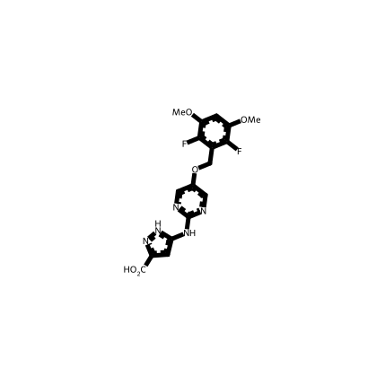 COc1cc(OC)c(F)c(COc2cnc(Nc3cc(C(=O)O)n[nH]3)nc2)c1F